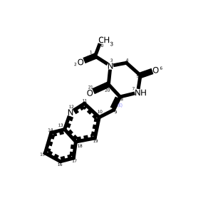 CC(=O)N1CC(=O)N/C(=C/c2cnc3ccccc3c2)C1=O